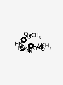 CCOC(=O)[C@H]1CC[C@H](Nc2nccc(-n3nnc4c(OCCS(C)(=O)=O)cccc43)n2)CC1